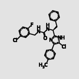 Cc1ccc(-c2nc([C@H](Cc3ccccc3)NC(=O)NCc3cc(Cl)ccc3F)[nH]c2Cl)cc1